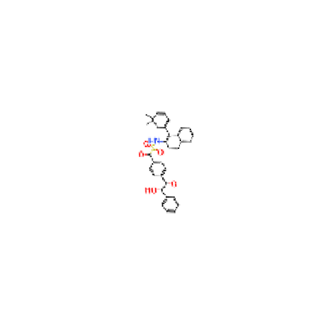 CC1(C)C=CC=C(c2c(NS(=O)(=O)C(=O)c3ccc(C(=O)C(O)c4ccccc4)cc3)ccc3ccccc23)C1